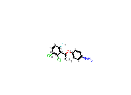 CC(Oc1ccc(N)cc1)c1c(F)ccc(Cl)c1Cl